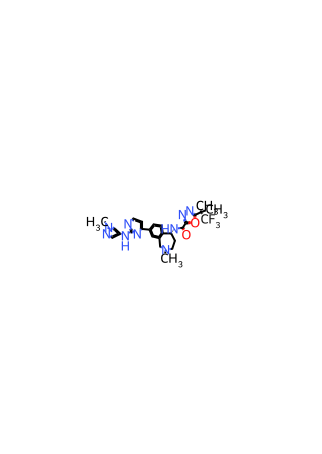 CN1CC[C@@H](NC(=O)c2nnc(C(C)(C)C(F)(F)F)o2)c2ccc(-c3ccnc(Nc4cnn(C)c4)n3)cc2C1